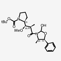 CO[C@H]([C@@H](C)C(=O)N1C(O)O[C@@H](c2ccccc2)[C@H]1C)[C@@H]1CCCN1C(=O)OC(C)(C)C